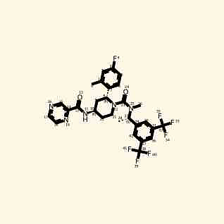 Cc1cc(F)ccc1[C@H]1C[C@H](NC(=O)c2cnccn2)CCN1C(=O)N(C)[C@@H](C)c1cc(C(F)(F)F)cc(C(F)(F)F)c1